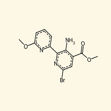 COC(=O)c1cc(Br)nc(-c2cccc(OC)n2)c1N